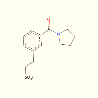 O=C(c1cccc(CCS(=O)(=O)O)c1)N1CCCC1